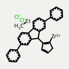 CCC.[Cl-].[Cl-].[Zr+2][C]1=C(C2c3cc(-c4ccccc4)ccc3-c3ccc(-c4ccccc4)cc32)C=CC1